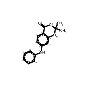 CC1(C)OC(=O)c2ccc(Nc3ccccc3)cc2O1